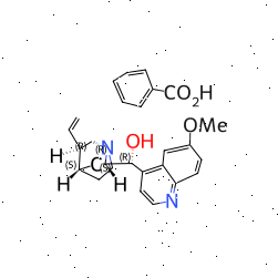 C=C[C@H]1C[N@]2CC[C@H]1C[C@H]2[C@H](O)c1ccnc2ccc(OC)cc12.O=C(O)c1ccccc1